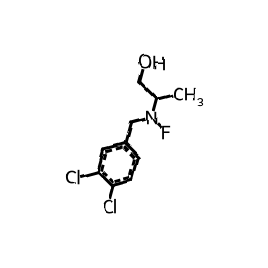 CC(CO)N(F)Cc1ccc(Cl)c(Cl)c1